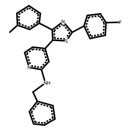 Cc1cccc(-c2nc(-c3ccc(F)cc3)sc2-c2ccnc(NCc3ccccc3)c2)c1